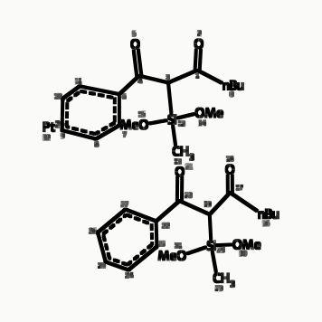 CCCCC(=O)C(C(=O)c1ccccc1)[Si](C)(OC)OC.CCCCC(=O)C(C(=O)c1ccccc1)[Si](C)(OC)OC.[Pt+2]